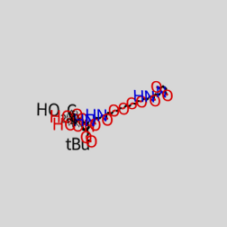 CC(C)(C)C(=O)OCc1ccc(OC2O[C@H](C(=O)O)[C@@H](O)[C@H](O)[C@H]2O)c(NC(=O)CCNC(=O)CCOCCOCCOCCOCCNC(=O)CCN2C(=O)C=CC2=O)c1